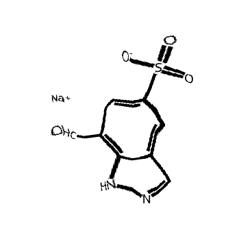 O=Cc1cc(S(=O)(=O)[O-])cc2cn[nH]c12.[Na+]